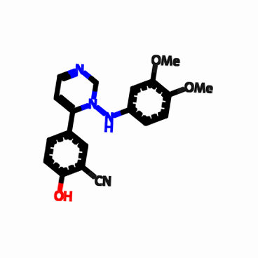 COc1ccc(NN2CN=CC=C2c2ccc(O)c(C#N)c2)cc1OC